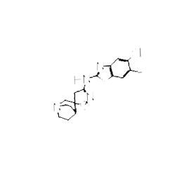 Fc1cc2sc(NC3=NOC4(C3)CN3CCC4CC3)nc2cc1Cl